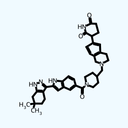 CC1(C)CCc2c(-c3cc4cc(C(=O)N5CCC(CN6CCc7cc(C8CCC(=O)NC8=O)ccc7C6)CC5)ccc4[nH]3)n[nH]c2C1